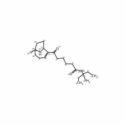 CCC(P)(CC)NC(=O)CCCCC(=O)C1=CCC[C@@H]2CCC1N2